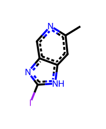 Cc1cc2[nH]c(I)nc2cn1